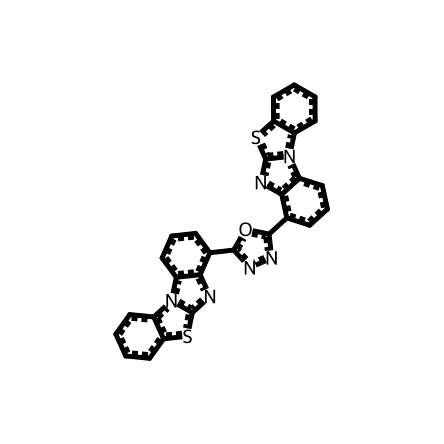 c1ccc2c(c1)sc1nc3c(-c4nnc(-c5cccc6c5nc5sc7ccccc7n56)o4)cccc3n12